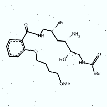 COCCCCOc1ccccc1C(=O)NC[C@@H](C[C@H](N)[C@@H](O)CNC(=O)C(C)(C)C)C(C)C